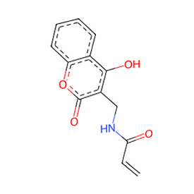 C=CC(=O)NCc1c(O)c2ccccc2oc1=O